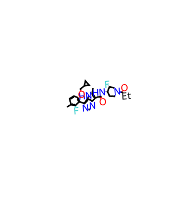 CCC(=O)N1CC[C@H](NC(=O)c2c(C)[nH]c3c(-c4c(OCC5CC5)ccc(C)c4F)ncnc23)[C@H](F)C1